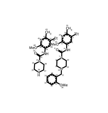 CCc1cc(NC(=O)N2CCN(Cc3ccccc3OC)CC2)c(OC)nc1C.CCc1cc(NC(=O)N2CCNCC2)c(OC)nc1C